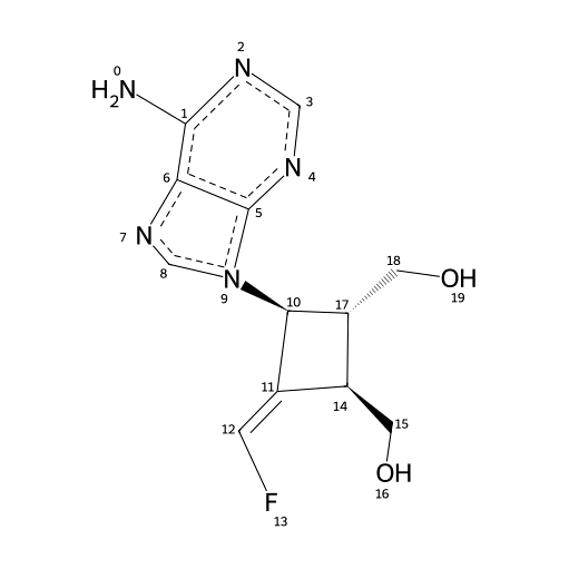 Nc1ncnc2c1ncn2[C@@H]1/C(=C/F)[C@H](CO)[C@H]1CO